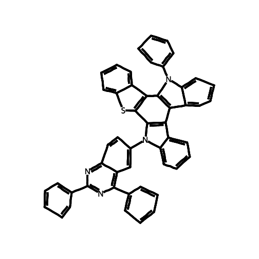 c1ccc(-c2nc(-c3ccccc3)c3cc(-n4c5ccccc5c5c6c7ccccc7n(-c7ccccc7)c6c6c7ccccc7sc6c54)ccc3n2)cc1